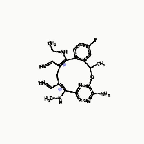 CCN/C1=C(\C=N)C/C(C=N)=C(/NC)c2cnc(N)c(n2)OC(C)c2cc(F)ccc21